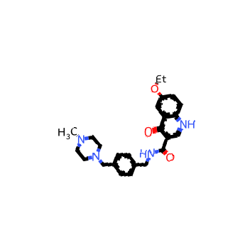 CCOc1ccc2[nH]cc(C(=O)NCc3ccc(CN4CCN(C)CC4)cc3)c(=O)c2c1